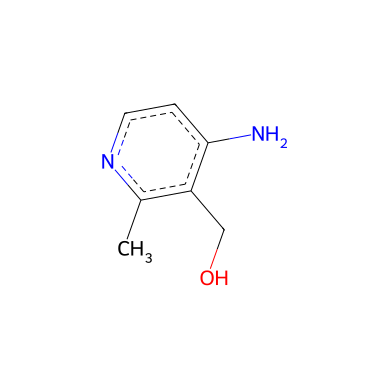 Cc1nccc(N)c1CO